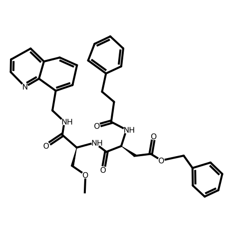 COC[C@H](NC(=O)[C@H](CC(=O)OCc1ccccc1)NC(=O)CCc1ccccc1)C(=O)NCc1cccc2cccnc12